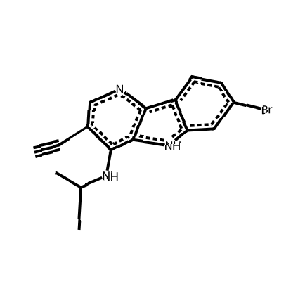 C#Cc1cnc2c([nH]c3cc(Br)ccc32)c1NC(C)C